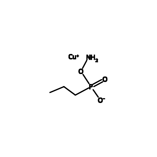 CCCP(=O)([O-])ON.[Cu+]